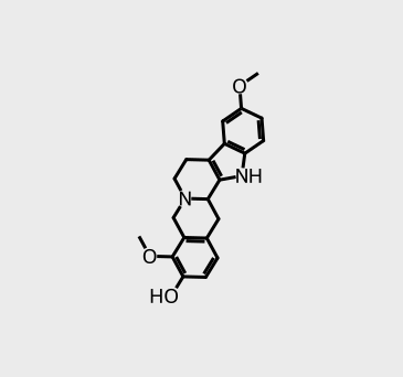 COc1ccc2[nH]c3c(c2c1)CCN1Cc2c(ccc(O)c2OC)CC31